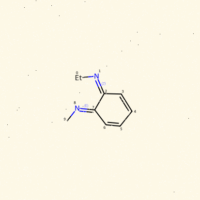 CC/N=C1/C=CC=C/C1=N\C